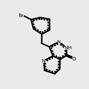 O=c1[nH]nc(Cc2cccc(Br)c2)c2ncccc12